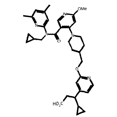 COc1cc(N2CCC(COc3cc(C(CC(=O)O)C4CC4)ccn3)CC2)c(C(=O)N(CC2CC2)c2cc(C)cc(C)n2)cn1